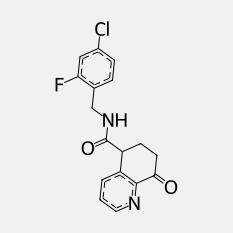 O=C1CCC(C(=O)NCc2ccc(Cl)cc2F)c2cccnc21